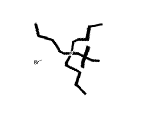 CCCC[P+](CCCC)(CCCC)C(C)(C)C.[Br-]